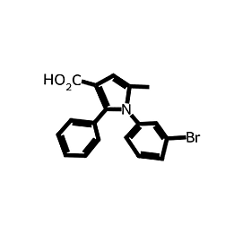 Cc1cc(C(=O)O)c(-c2ccccc2)n1-c1cccc(Br)c1